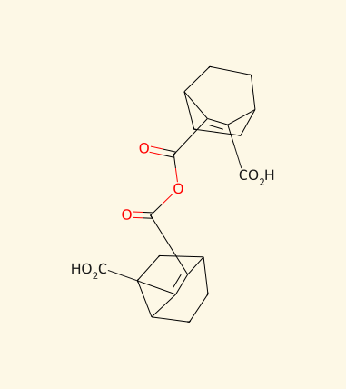 O=C(O)C1=C(C(=O)OC(=O)C2=C(C(=O)O)C3CCC2CC3)C2CCC1CC2